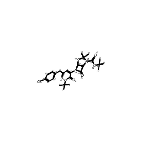 CC(C)(C)OC(=O)C(=CC(=O)Cc1ccc(Cl)cc1)N1C(=O)C2C1SC(C)(C)N2C(=O)OC(C)(C)C